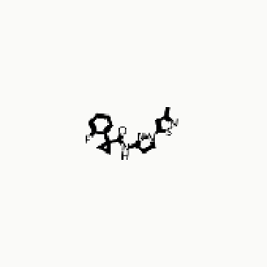 Cc1cc(-n2ccc(NC(=O)C3(c4ccccc4F)CC3)n2)sn1